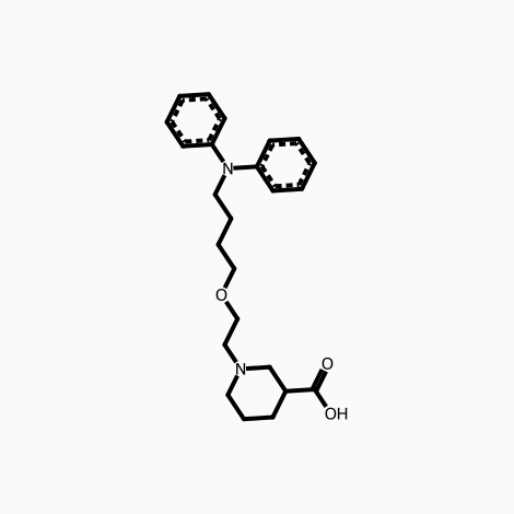 O=C(O)C1CCCN(CCOCCCCN(c2ccccc2)c2ccccc2)C1